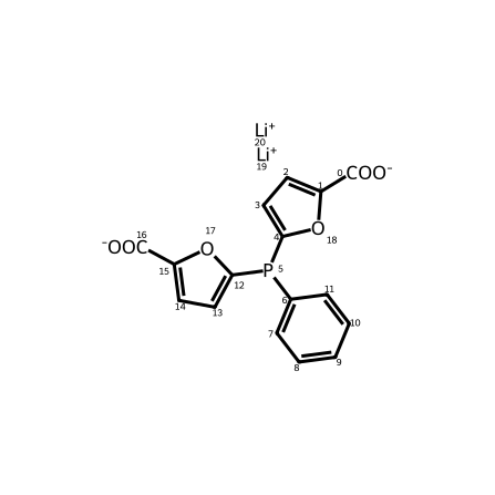 O=C([O-])c1ccc(P(c2ccccc2)c2ccc(C(=O)[O-])o2)o1.[Li+].[Li+]